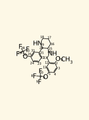 COc1ccc(OC(F)(F)F)cc1CNC1CCCNC1c1cccc(OC(F)(F)F)c1